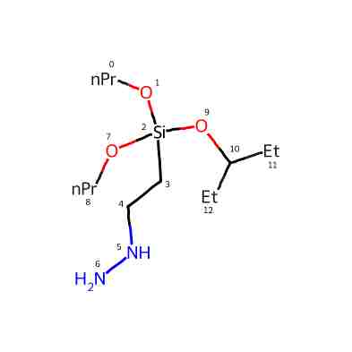 CCCO[Si](CCNN)(OCCC)OC(CC)CC